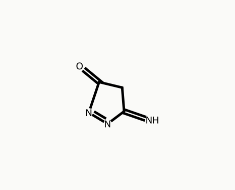 N=C1CC(=O)N=N1